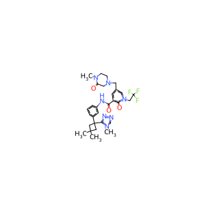 CN1CCN(Cc2cc(C(=O)Nc3cccc(C4(c5nncn5C)CC(C)(C)C4)c3)c(=O)n(CC(F)(F)F)c2)CC1=O